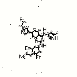 CCC1CC(Nc2nc(Nc3cc(C)[nH]n3)c3ccc(-c4cnn(CCF)c4)cc3n2)CC(CC)N1CCC#N